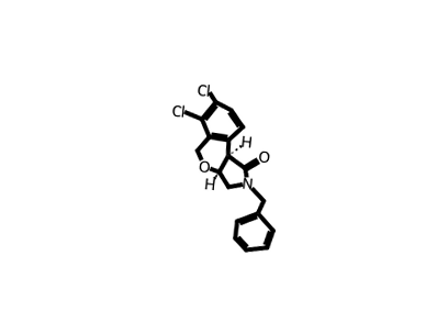 O=C1[C@@H]2c3ccc(Cl)c(Cl)c3CO[C@@H]2CN1Cc1ccccc1